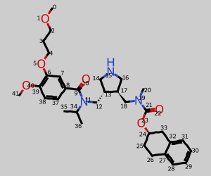 COCCCOc1cc(C(=O)N(C[C@@H]2CNC[C@H]2CN(C)C(=O)O[C@@H]2CCc3ccccc3C2)C(C)C)ccc1OC